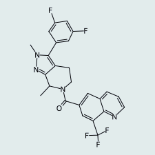 CC1c2nn(C)c(-c3cc(F)cc(F)c3)c2CCN1C(=O)c1cc(C(F)(F)F)c2ncccc2c1